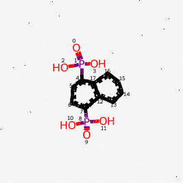 O=P(O)(O)c1ccc(P(=O)(O)O)c2ccccc12